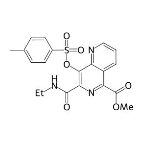 CCNC(=O)c1nc(C(=O)OC)c2cccnc2c1OS(=O)(=O)c1ccc(C)cc1